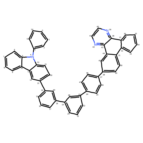 c1ccc(-n2c3ccccc3c3cc(-c4cccc(-c5cccc(-c6ccc(-c7ccc8c9ccccc9c9nccnc9c8c7)cc6)c5)c4)ccc32)cc1